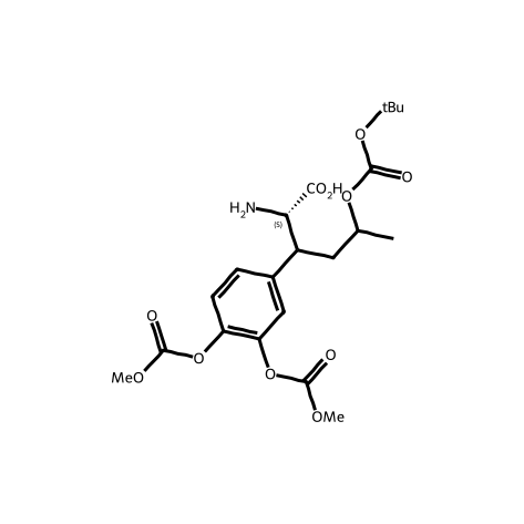 COC(=O)Oc1ccc(C(CC(C)OC(=O)OC(C)(C)C)[C@H](N)C(=O)O)cc1OC(=O)OC